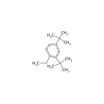 [CH2]Cc1ccc(C(C)(C)C)cc1C(C)(C)C